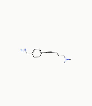 CN(C)CCCC#Cc1ccc(CN)cc1